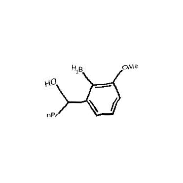 Bc1c(OC)cccc1C(O)CCC